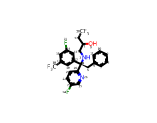 OC(CN[C@@](Cc1ccccc1)(c1cc(F)cc(C(F)(F)F)c1)c1ccc(F)cn1)CC(F)(F)F